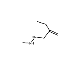 C=C(CC)CNNC